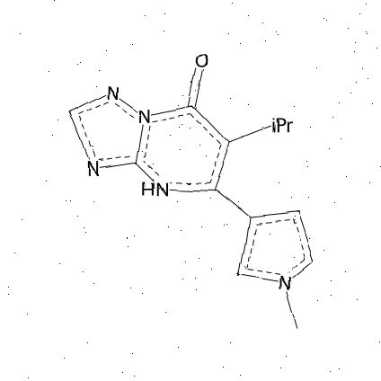 CC(C)c1c(-c2ccn(C)c2)[nH]c2ncnn2c1=O